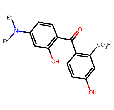 CCN(CC)c1ccc(C(=O)c2ccc(O)cc2C(=O)O)c(O)c1